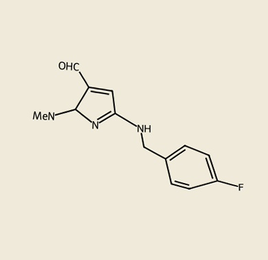 CNC1N=C(NCc2ccc(F)cc2)C=C1C=O